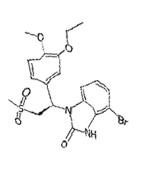 CCOc1cc([C@H](CS(C)(=O)=O)n2c(=O)[nH]c3c(Br)cccc32)ccc1OC